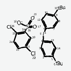 CC(C)(C)c1ccc([I+]c2ccc(C(C)(C)C)cc2)cc1.O=S(=O)([O-])c1cc(Cl)ccc1Cl